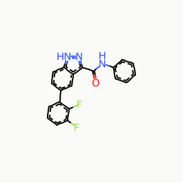 O=C(Nc1ccccc1)c1n[nH]c2ccc(-c3cccc(F)c3F)cc12